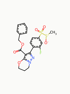 C[S+]([O-])S(=O)(=O)c1ccc(-c2nn3c(c2C(=O)OCc2ccccc2)OCCC3)c(F)c1